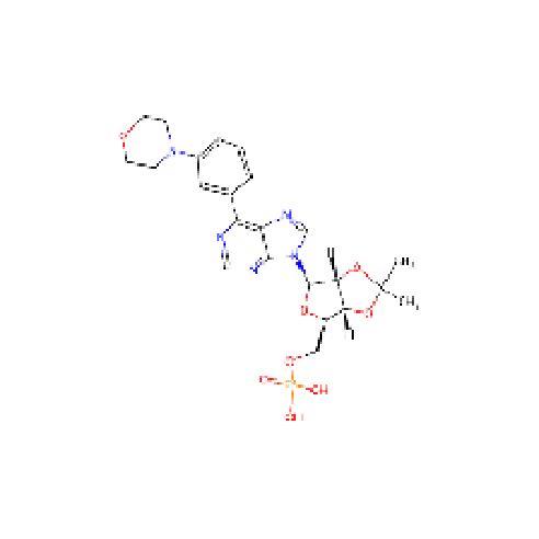 CC1(C)O[C@@H]2[C@H](O1)[C@@H](COP(=O)(O)O)O[C@H]2n1cnc2c(-c3cccc(N4CCOCC4)c3)ncnc21